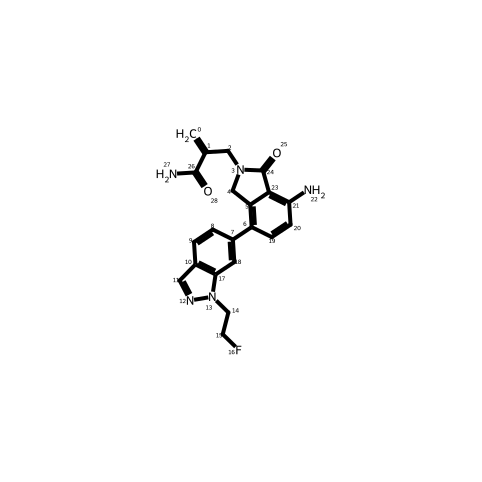 C=C(CN1Cc2c(-c3ccc4cnn(CCF)c4c3)ccc(N)c2C1=O)C(N)=O